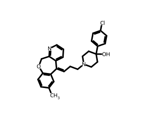 Cc1ccc2c(c1)/C(=C/CCN1CCC(O)(c3ccc(Cl)cc3)CC1)c1cccnc1CO2